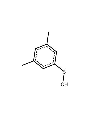 Cc1cc(C)cc(SO)c1